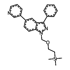 C[Si](C)(C)CCOCn1nc(-c2ccccc2)c2cc(-c3cccnc3)ccc21